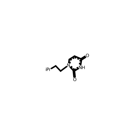 CC(C)CCn1ccc(=O)[nH]c1=O